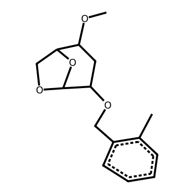 COC1CC(OCc2ccccc2C)C2OCC1O2